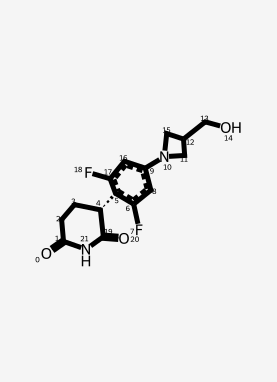 O=C1CC[C@H](c2c(F)cc(N3CC(CO)C3)cc2F)C(=O)N1